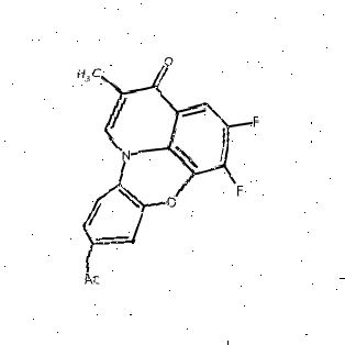 CC(=O)c1ccc2c(c1)Oc1c(F)c(F)cc3c(=O)c(C)cn-2c13